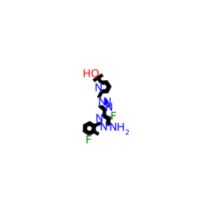 Cc1c(F)cccc1-c1nc(N)c(F)c(-c2cn(Cc3cccc(C(C)(C)O)n3)nn2)n1